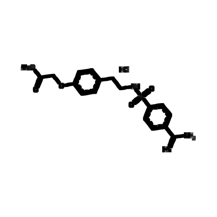 COC(=O)COc1ccc(CCNS(=O)(=O)c2ccc(C(=N)N)cc2)cc1.Cl